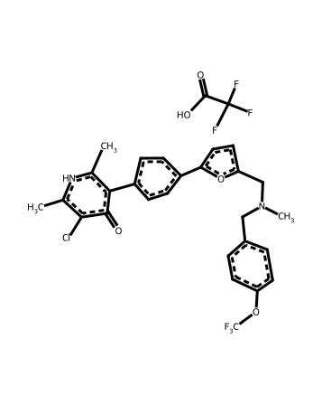 Cc1[nH]c(C)c(-c2ccc(-c3ccc(CN(C)Cc4ccc(OC(F)(F)F)cc4)o3)cc2)c(=O)c1Cl.O=C(O)C(F)(F)F